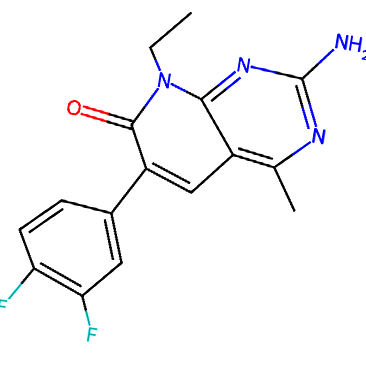 CCn1c(=O)c(-c2ccc(F)c(F)c2)cc2c(C)nc(N)nc21